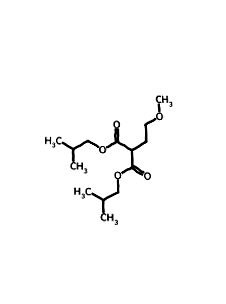 COCCC(C(=O)OCC(C)C)C(=O)OCC(C)C